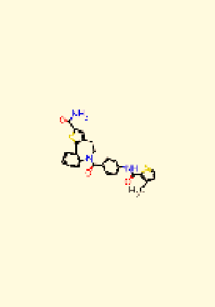 Cc1ccsc1C(=O)Nc1ccc(C(=O)N2CCc3cc(C(N)=O)sc3-c3ccccc32)cc1